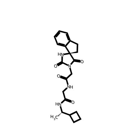 C[C@H](NC(=O)CNC(=O)CN1C(=O)N[C@@]2(CCc3ccccc32)C1=O)C1CCC1